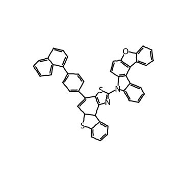 C1=C(c2ccc(-c3cccc4ccccc34)cc2)c2sc(-n3c4ccccc4c4c5c(ccc43)oc3ccccc35)nc2C2c3ccccc3SC12